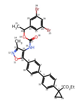 CCOC(=O)C1(c2ccc(-c3ccc(-c4onc(C)c4NC(=O)OC(C)c4cc(Br)cc(Br)c4)cc3)cc2)CC1